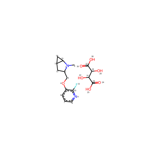 CN1C(COc2cccnc2F)CC2CC21.O=C(O)C(O)C(O)C(=O)O